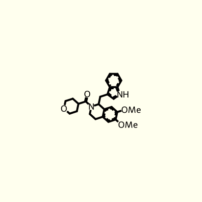 COc1cc2c(cc1OC)C(Cc1c[nH]c3ccccc13)N(C(=O)C1CCOCC1)CC2